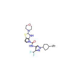 CC(C)C1CCC(n2cc(NC(=O)n3ccc4c3NC(N3CCOCC3)S4)c(C(F)F)n2)CC1